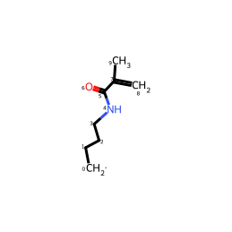 [CH2]CCCNC(=O)C(=C)C